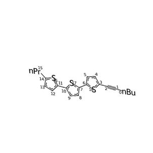 CCCCC#Cc1ccc(-c2ccc(-c3ccc(CCC)s3)s2)s1